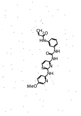 C=CC(=O)Nc1cccc(NC(=O)Nc2ccnc(Nc3ccc(OC)cn3)n2)c1